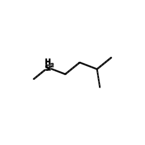 C[SiH2]CCC(C)C